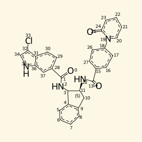 O=C(NC1c2ccccc2C[C@@H]1NC(=O)c1ccc(-n2ccccc2=O)cc1)c1ccc2c(Cl)c[nH]c2c1